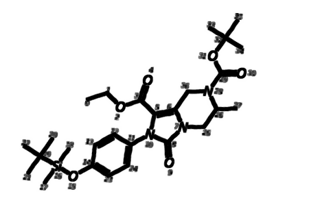 CCOC(=O)c1c2n(c(=O)n1-c1ccc(O[Si](C)(C)C(C)(C)C)cc1)CC(C)N(C(=O)OC(C)(C)C)C2